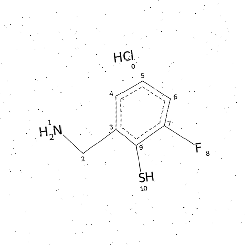 Cl.NCc1cccc(F)c1S